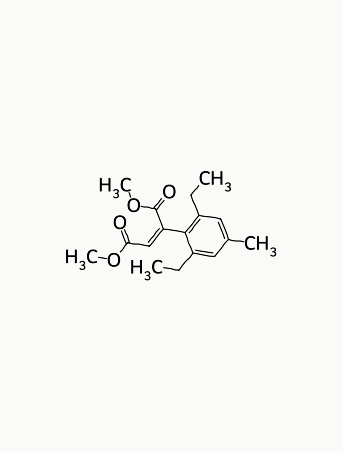 CCc1cc(C)cc(CC)c1/C(=C/C(=O)OC)C(=O)OC